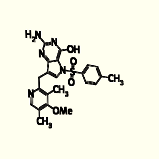 COc1c(C)cnc(Cc2cn(S(=O)(=O)c3ccc(C)cc3)c3c(O)nc(N)nc23)c1C